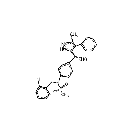 Cc1n[nH]c(N(C=O)c2ccc(N(Cc3ccccc3Cl)S(C)(=O)=O)cc2)c1-c1ccccc1